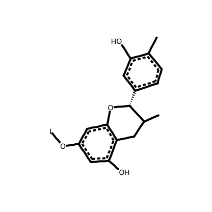 Cc1ccc([C@H]2Oc3cc(OI)cc(O)c3CC2C)cc1O